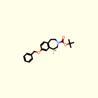 C[C@H]1CN(C(=O)OC(C)(C)C)CCc2ccc(OCc3ccccc3)cc21